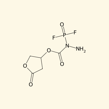 NN(C(=O)OC1COC(=O)C1)P(=O)(F)F